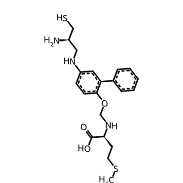 CSCC[C@H](NCOc1ccc(NC[C@@H](N)CS)cc1-c1ccccc1)C(=O)O